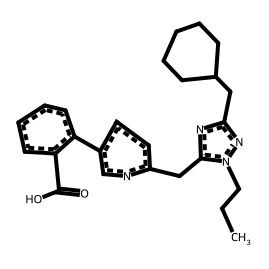 CCCn1nc(CC2CCCCC2)nc1Cc1ccc(-c2ccccc2C(=O)O)cn1